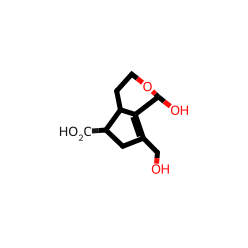 O=C(O)C1CC(CO)=C2C(O)OCCC21